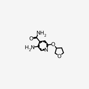 NC(=O)c1cc(OC2CCOC2)ncc1N